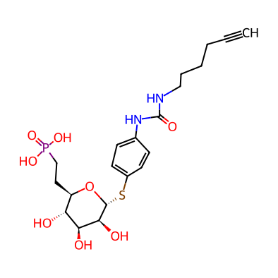 C#CCCCCNC(=O)Nc1ccc(S[C@H]2O[C@H](CCP(=O)(O)O)[C@@H](O)[C@H](O)[C@@H]2O)cc1